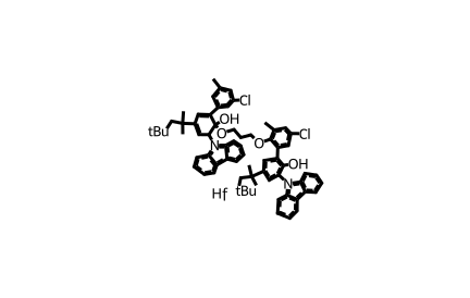 Cc1cc(Cl)cc(C2=CC(C(C)(C)CC(C)(C)C)=CC(n3c4ccccc4c4ccccc43)C2(O)OCCCOc2c(C)cc(Cl)cc2-c2cc(C(C)(C)CC(C)(C)C)cc(-n3c4ccccc4c4ccccc43)c2O)c1.[Hf]